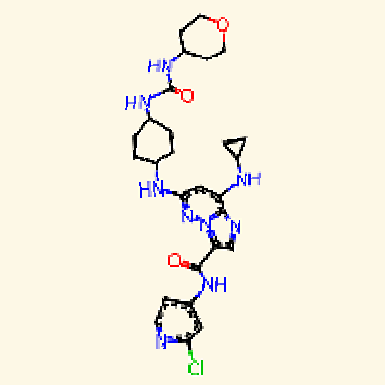 O=C(NC1CCOCC1)NC1CCC(Nc2cc(NC3CC3)c3ncc(C(=O)Nc4ccnc(Cl)c4)n3n2)CC1